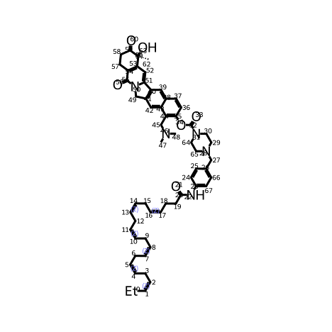 CC/C=C\C/C=C\C/C=C\C/C=C\C/C=C\C/C=C\CCC(=O)Nc1ccc(CN2CCN(C(=O)Oc3ccc4cc5c(cc4c3CN(C)C)Cn3c-5cc4c(c3=O)CCC(=O)[C@@]4(C)O)CC2)cc1